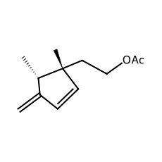 C=C1C=C[C@@](C)(CCOC(C)=O)[C@H]1C